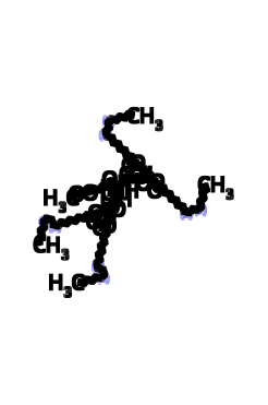 CCCCC/C=C\C/C=C\CCCCCCCC(=O)OCCN(CCOC(=O)CCCCCCC/C=C\C/C=C\CCCCC)C(=O)CCC(=O)NC[C@H](NC(=O)CCC(=O)N(CCOC(=O)CCCCCCC/C=C\C/C=C\CCCCC)CCOC(=O)CCCCCCC/C=C\C/C=C\CCCCC)C(=O)NCCCOCCOC